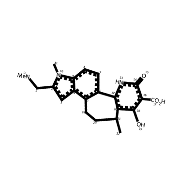 CNCc1cc2c3c(ccc2n1C)-c1[nH]c(=O)c(C(=O)O)c(O)c1C(C)CC3